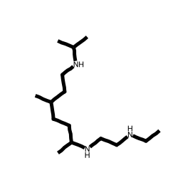 CCNCCNC(C)CCC(C)CCNC(C)C